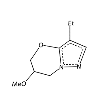 CCc1cnn2c1OCC(OC)C2